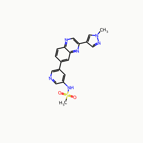 Cn1cc(-c2cnc3ccc(-c4cncc(NS(C)(=O)=O)c4)cc3n2)cn1